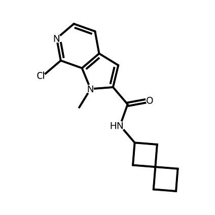 Cn1c(C(=O)NC2CC3(CCC3)C2)cc2ccnc(Cl)c21